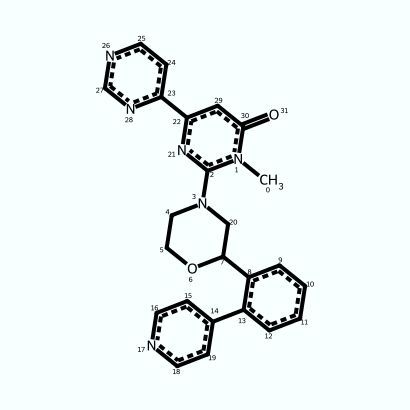 Cn1c(N2CCOC(c3ccccc3-c3ccncc3)C2)nc(-c2ccncn2)cc1=O